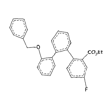 CCOC(=O)c1cc(F)ccc1-c1ccccc1-c1ccccc1OCc1ccccc1